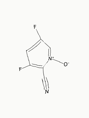 N#Cc1c(F)cc(F)c[n+]1[O-]